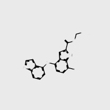 CCOC(=O)c1cc2c(Nc3cccc4[nH]ccc34)ccc(F)c2[nH]1